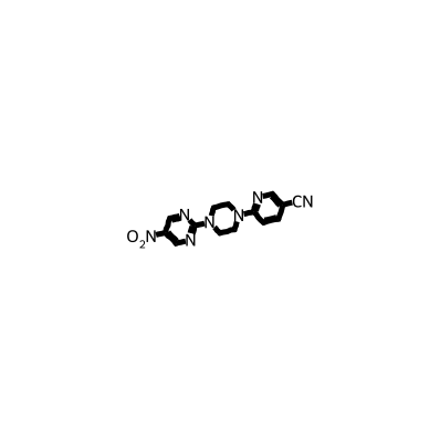 N#Cc1ccc(N2CCN(c3ncc([N+](=O)[O-])cn3)CC2)nc1